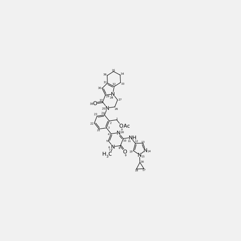 CC(=O)OCc1c(-c2cn(C)c(=O)c(Nc3cnn(C4CC4)c3)n2)cccc1N1CCn2c(cc3c2CCCC3)C1=O